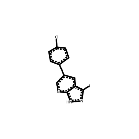 Clc1ccc(-c2cnc3[nH]nc(I)c3c2)cc1